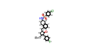 CC(C)COC1=C(c2ccc(F)cc2)C(=O)C(Cc2cccc3c2CCC(NS(=O)(=O)c2ccc(Cl)cc2)C3)C1